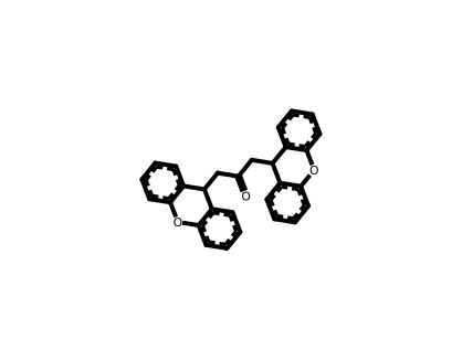 O=C(CC1c2ccccc2Oc2ccccc21)CC1c2ccccc2Oc2ccccc21